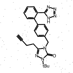 C#CCCc1nn(C(C)(C)C)c(=O)n1Cc1ccc(-c2ccccc2-c2nnn[nH]2)cc1